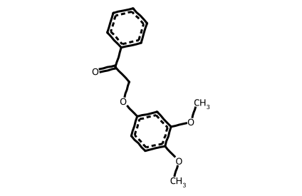 COc1ccc(OCC(=O)c2ccccc2)cc1OC